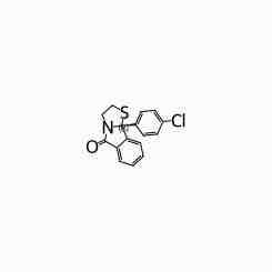 O=C1c2ccccc2[C@@]2(c3ccc(Cl)cc3)SCCN12